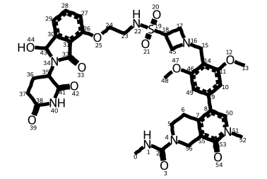 CNC(=O)N1CCc2c(-c3cc(OC)c(CN4CC(S(=O)(=O)NCCOc5cccc6c5C(=O)N(C5CCC(=O)NC5=O)C6O)C4)c(OC)c3)cn(C)c(=O)c2C1